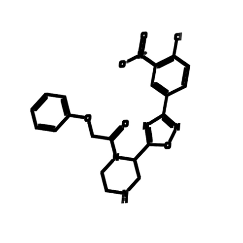 O=C(COc1ccccc1)N1CCNCC1c1nc(-c2ccc(Cl)c([N+](=O)[O-])c2)no1